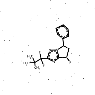 CC(C)(C)C(F)(F)c1nc2n(n1)C(c1ccccc1)CC2F